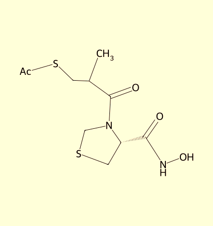 CC(=O)SCC(C)C(=O)N1CSC[C@H]1C(=O)NO